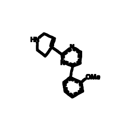 COc1ccccc1-c1ccnc(C2=CCNCC2)n1